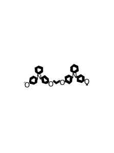 COc1ccc(N(c2ccccc2)c2ccc(OCCCOc3ccc(N(c4ccccc4)c4ccc(OC)cc4)cc3)cc2)cc1